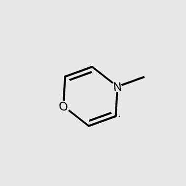 CN1[C]=COC=C1